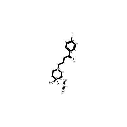 C[C@]1(O)CCN(CCCC(=O)c2ccc(F)cc2)C[C@@H]1C=C=O